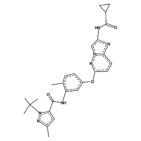 Cc1cc(C(=O)Nc2cc(Oc3ccc4nc(NC(=O)C5CC5)cn4n3)ccc2C)n(C(C)(C)C)n1